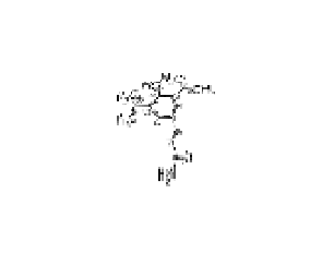 CC(C)c1cc(/C=C/C(N)=O)cc(C(C)C)c1O